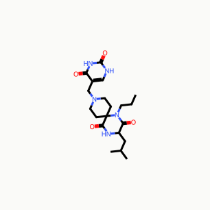 CCCN1C(=O)C(CC(C)C)NC(=O)C12CCN(Cc1c[nH]c(=O)[nH]c1=O)CC2